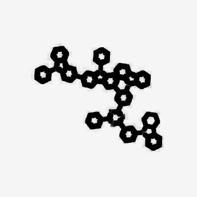 c1ccc(-c2nc(-c3cccc(N4c5ccccc5C5CCCCC54)c3)nc(-c3ccc(-n4c5ccccc5c5ccccc54)c(-c4ccc5c(c4)c4ccc(-c6ccc7c(c6)c6ccccc6n7-c6ccccc6)cc4n5-c4ccccc4)c3)n2)cc1